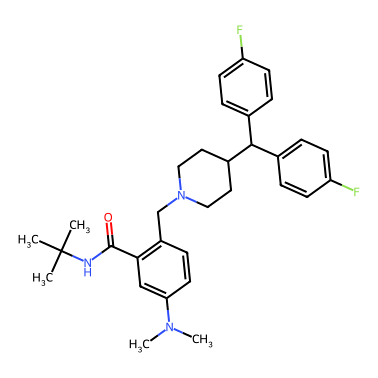 CN(C)c1ccc(CN2CCC(C(c3ccc(F)cc3)c3ccc(F)cc3)CC2)c(C(=O)NC(C)(C)C)c1